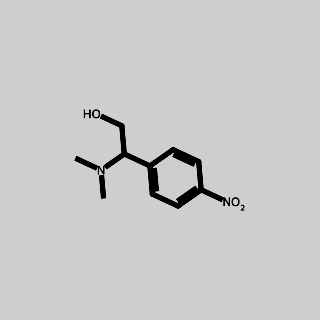 CN(C)C(CO)c1ccc([N+](=O)[O-])cc1